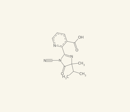 CC(C)C1(C)N=C(c2ncccc2C(=O)O)N(C#N)C1=O